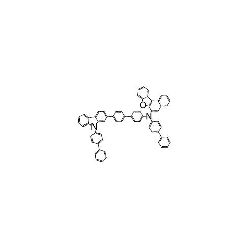 c1ccc(-c2ccc(N(c3ccc(-c4ccc(-c5ccc6c7ccccc7n(-c7ccc(-c8ccccc8)cc7)c6c5)cc4)cc3)c3cc4ccccc4c4c3oc3ccccc34)cc2)cc1